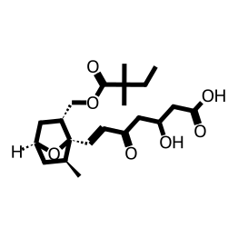 CCC(C)(C)C(=O)OC[C@H]1C[C@@H]2C[C@H](C)[C@@]1(/C=C/C(=O)CC(O)CC(=O)O)O2